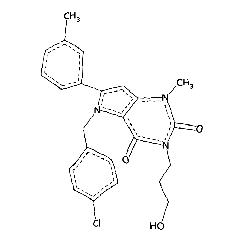 Cc1cccc(-c2cc3c(c(=O)n(CCCO)c(=O)n3C)n2Cc2ccc(Cl)cc2)c1